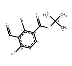 CC(C)(C)OC(=O)c1ccc(F)c(C=O)c1F